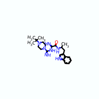 CC(Cc1c[nH]c2ccccc12)NC(=O)C(=N)NC(=N)N1CCN(C(C)(C)C)CC1